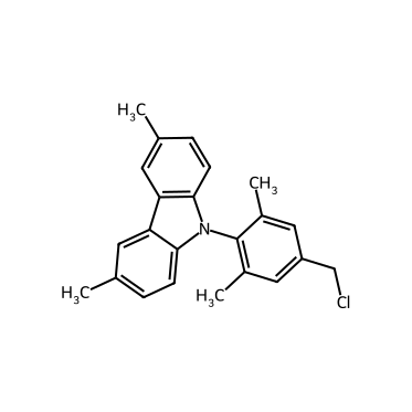 Cc1ccc2c(c1)c1cc(C)ccc1n2-c1c(C)cc(CCl)cc1C